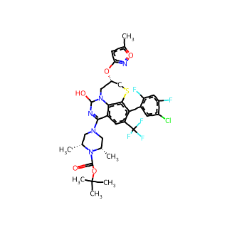 Cc1cc(O[C@@H]2CSc3c(-c4cc(Cl)c(F)cc4F)c(C(F)(F)F)cc4c3N(C2)C(O)N=C4N2C[C@@H](C)N(C(=O)OC(C)(C)C)[C@@H](C)C2)no1